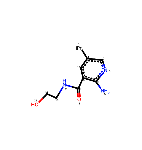 CC(C)c1cnc(N)c(C(=O)NCCO)c1